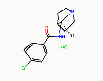 Cl.O=C(N[C@@H]1CN2CCC1CC2)c1ccc(Cl)cc1